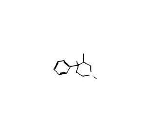 CC1CN(C)CCC1(O)c1ccccc1